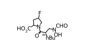 CCCC[C@H](CN(O)C=O)C(=O)N1CC(F)CC1C(=O)O